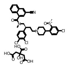 CN(C[C@@H](CCN1CCC(c2ccc(Cl)cc2[S@@+](C)[O-])CC1)c1ccc(Cl)c(Cl)c1)C(=O)c1cc(C#N)cc2ccccc12.O=C(O)CC(O)(CC(=O)O)C(=O)O